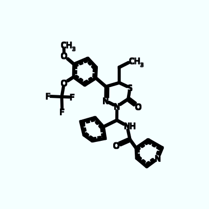 CCC1SC(=O)N(C(NC(=O)c2ccncc2)c2ccccc2)N=C1c1ccc(OC)c(OC(F)(F)F)c1